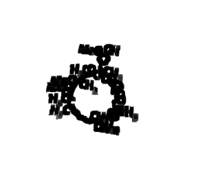 CO[C@H]1C[C@@H]2CC[C@@H](C)[C@](O)(CC(=O)C(=O)N3CCCC[C@H]3C(=O)O[C@H]([C@H](C)C[C@@H]3CC[C@@H](O)[C@H](OC)C3)CC(=O)[C@H](C)/C=C(\C)[C@@H](OC)[C@@H](OC)C(=O)[C@H](C)C[C@H](C)/C=C/C=C/C=C/1C)O2